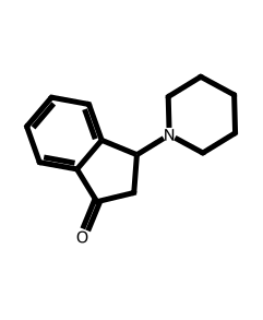 O=C1CC(N2CCCCC2)c2ccccc21